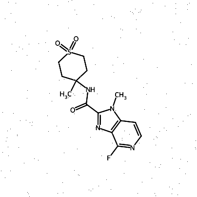 Cn1c(C(=O)NC2(C)CCS(=O)(=O)CC2)nc2c(F)nccc21